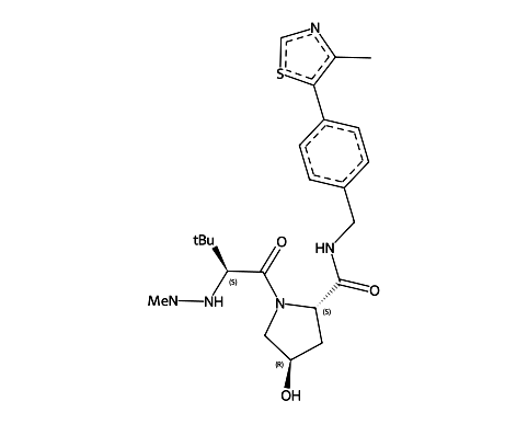 CNN[C@H](C(=O)N1C[C@H](O)C[C@H]1C(=O)NCc1ccc(-c2scnc2C)cc1)C(C)(C)C